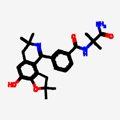 CC1(C)Cc2cc(O)c3c(c2C(c2cccc(C(=O)NC(C)(C)C(N)=O)c2)=N1)CC(C)(C)O3